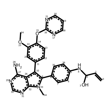 C=CC(O)Nc1ccc(-c2c(-c3ccc(Oc4ncccn4)c(OC)c3)c3c(N)ncnc3n2C)cc1